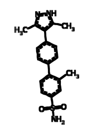 Cc1cc(S(N)(=O)=O)ccc1-c1ccc(-c2c(C)n[nH]c2C)cc1